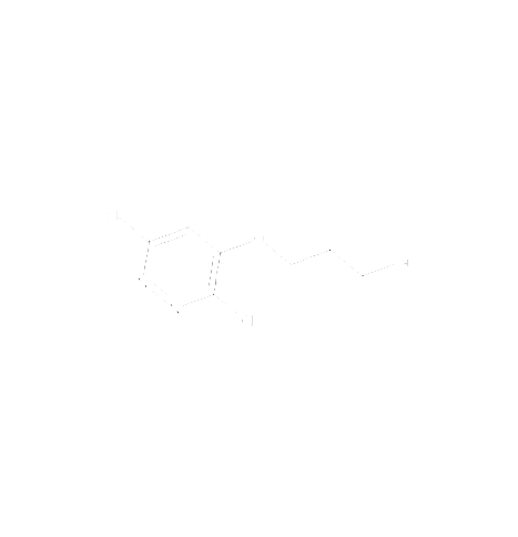 Clc1cc(OCCCBr)c(Cl)nn1